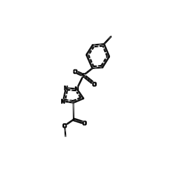 COC(=O)c1cn(S(=O)(=O)c2ccc(C)cc2)nn1